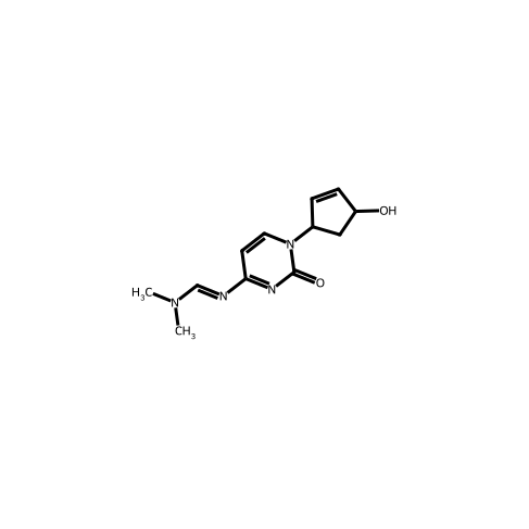 CN(C)C=Nc1ccn(C2C=CC(O)C2)c(=O)n1